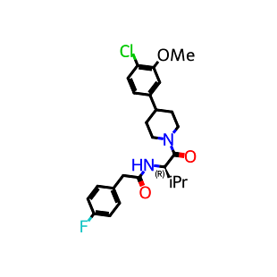 COc1cc(C2CCN(C(=O)[C@H](NC(=O)Cc3ccc(F)cc3)C(C)C)CC2)ccc1Cl